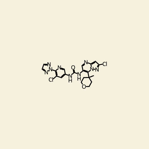 CC1(c2c(NC(=O)Nc3cnc(-n4nccn4)c(Cl)c3)cnc3cc(Cl)nn23)CCOCC1